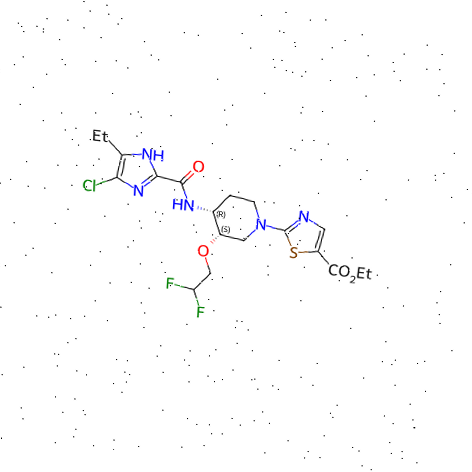 CCOC(=O)c1cnc(N2CC[C@@H](NC(=O)c3nc(Cl)c(CC)[nH]3)[C@@H](OCC(F)F)C2)s1